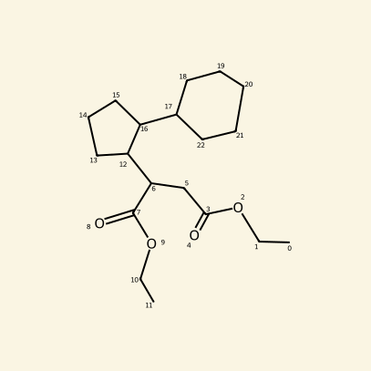 CCOC(=O)CC(C(=O)OCC)C1CCCC1C1CCCCC1